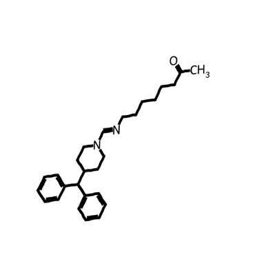 CC(=O)CCCCCCN=CN1CCC(C(c2ccccc2)c2ccccc2)CC1